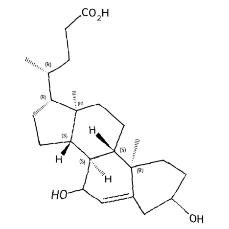 C[C@H](CCC(=O)O)[C@H]1CC[C@H]2[C@@H]3C(O)C=C4CC(O)CC[C@]4(C)[C@H]3CC[C@]12C